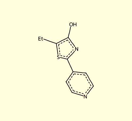 CCc1sc(-c2ccncc2)nc1O